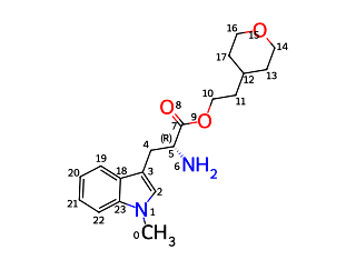 Cn1cc(C[C@@H](N)C(=O)OCCC2CCOCC2)c2ccccc21